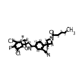 CCCCC(=O)N1CC(F)(c2ccc(C3=NOC(c4cc(Cl)c(F)c(Cl)c4)(C(F)(F)F)C3)cc2C#N)C1